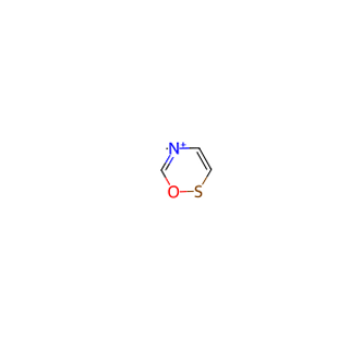 C1=CSOC=[N+]1